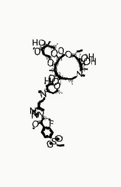 CC[C@H]1OC(=O)[C@H](C)[C@@H](O[C@H]2C[C@@](C)(OC)[C@](C)(O)[C@H](C)O2)[C@H](C)[C@@H](O[C@H]2C[C@@H](N(C)CCc3cn([C@H](CF)[C@H](OC)c4ccc(S(=O)(=O)CC)cc4)nn3)C[C@@H](C)O2)[C@](C)(O)C[C@@H](C)CN(C)[C@H](C)[C@@H](O)[C@]1(C)O